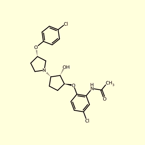 CC(=O)Nc1cc(Cl)ccc1O[C@H]1CC[C@H](N2CC[C@H](Oc3ccc(Cl)cc3)C2)[C@@H]1O